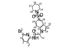 Cc1ccc(Br)nc1NC(=O)C(C)n1cc(C)c2cc(S(=O)(=O)N3CCCCC3)ccc21